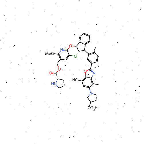 COc1nc(OC2CC(c3cc(-c4nc5c(C)c(N6CCC(C(=O)O)C6)cc(C#N)c5o4)ccc3C)c3ccccc32)c(Cl)cc1COC(=O)[C@@H]1CCCN1